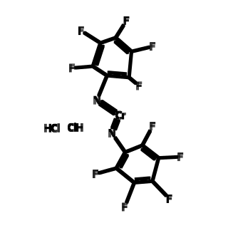 Cl.Cl.Fc1c(F)c(F)c([N]=[Cr]=[N]c2c(F)c(F)c(F)c(F)c2F)c(F)c1F